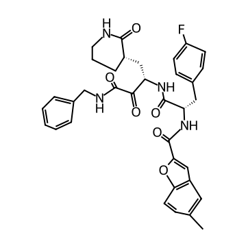 Cc1ccc2oc(C(=O)N[C@@H](Cc3ccc(F)cc3)C(=O)N[C@@H](C[C@@H]3CCCNC3=O)C(=O)C(=O)NCc3ccccc3)cc2c1